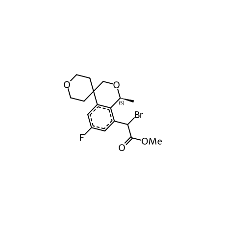 COC(=O)C(Br)c1cc(F)cc2c1[C@H](C)OCC21CCOCC1